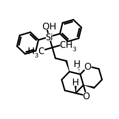 CC(C)(CC[C@@H]1CC[C@H]2O[C@]23CCCO[C@H]13)[Si](O)(c1ccccc1)c1ccccc1